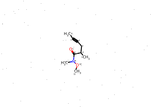 CC#CCC(C)C(=O)N(C)OC